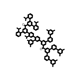 Cc1cc(C)cc(-c2cccc(-c3cc(C(=O)c4cc(-c5cccc(-c6cc(C)cc(C)c6)c5)cc(-c5ccc(-c6ccc(-c7cc(C(=O)c8cc(-c9ccccc9C(C)C)cc(-c9ccccc9C(C)C)c8)cc(-c8ccccc8C(C)C)c7)c(C(C)C)c6)c(-c6cc(C)cc(C)c6)c5)c4)cc(-c4cccc(-c5cc(C)cc(C)c5)c4)c3)c2)c1